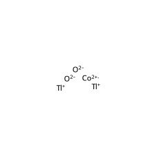 [Co+2].[O-2].[O-2].[Tl+].[Tl+]